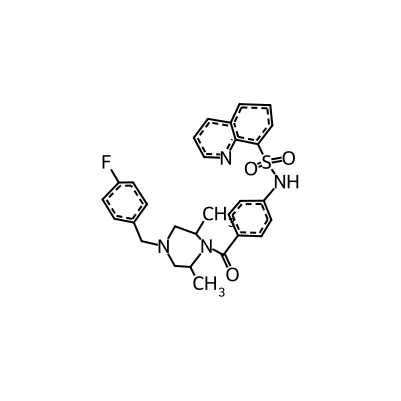 CC1CN(Cc2ccc(F)cc2)CC(C)N1C(=O)c1ccc(NS(=O)(=O)c2cccc3cccnc23)cc1